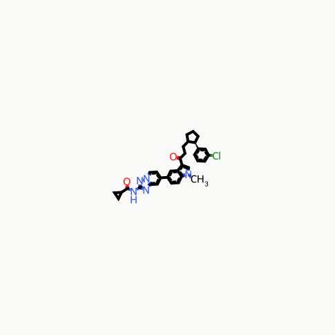 Cn1cc(C(=O)CCC2CCC[C@H]2c2cccc(Cl)c2)c2cc(-c3ccn4nc(NC(=O)C5CC5)nc4c3)ccc21